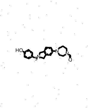 O=CN1CCCN(c2ccc3c(c2)CN(Sc2ccc(O)cc2)C3)CC1